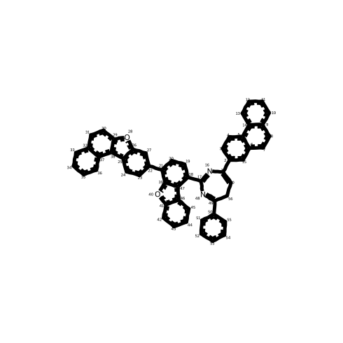 C1=C(c2ccc3c(ccc4ccccc43)c2)N=C(c2ccc(-c3ccc4c(c3)oc3ccc5ccccc5c34)c3oc4ccccc4c23)N=C(c2ccccc2)C1